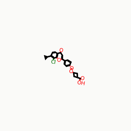 O=C(O)C1CC(OOc2ccc(-c3cc(=O)c4ccc(C5CC5)c(Cl)c4o3)cc2)C1